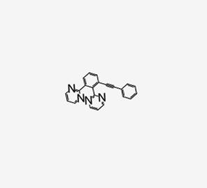 C(#Cc1cccc(-c2ncccn2)c1-c1ncccn1)c1ccccc1